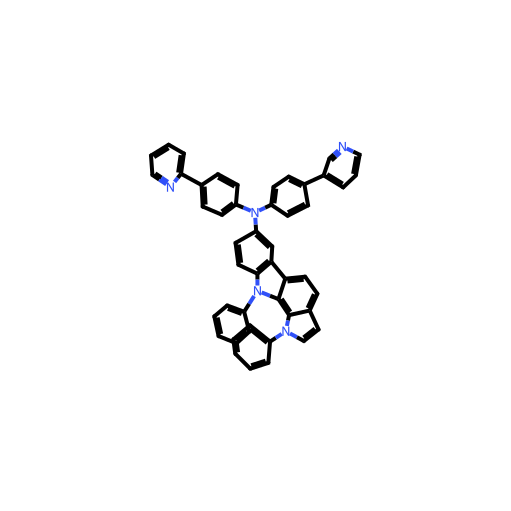 c1ccc(-n2ccc3ccc4c5cc(N(c6ccc(-c7cccnc7)cc6)c6ccc(-c7ccccn7)cc6)ccc5n(-c5ccccc5)c4c32)cc1